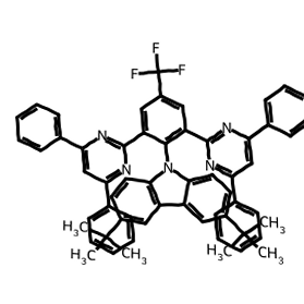 CC(C)(C)c1ccc2c(c1)c1cc(C(C)(C)C)ccc1n2-c1c(-c2nc(-c3ccccc3)cc(-c3ccccc3)n2)cc(C(F)(F)F)cc1-c1nc(-c2ccccc2)cc(-c2ccccc2)n1